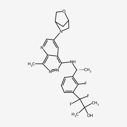 Cc1nnc(N[C@H](C)c2cccc(C(F)(F)C(C)(C)O)c2F)c2cc(N3CC4CC3CO4)cnc12